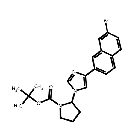 CC(C)(C)OC(=O)N1CCCC1n1cnc(-c2ccc3ccc(Br)cc3c2)c1